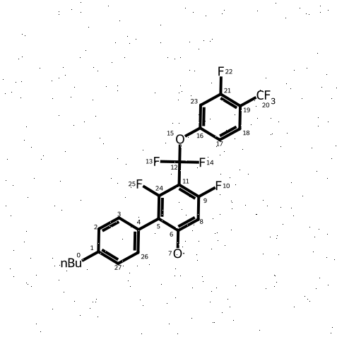 CCCCc1ccc(-c2c([O])cc(F)c(C(F)(F)Oc3ccc(C(F)(F)F)c(F)c3)c2F)cc1